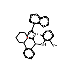 CC(C)c1cccc(C(C)C)c1NC(c1nc(-c2cccc3ccccc23)cs1)c1ccccc1C1CCCCC1